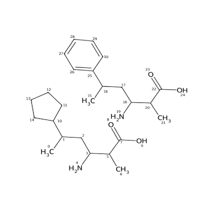 CC(CC(N)C(C)C(=O)O)C1CCCC1.CC(CC(N)C(C)C(=O)O)c1ccccc1